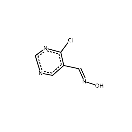 ON=Cc1cncnc1Cl